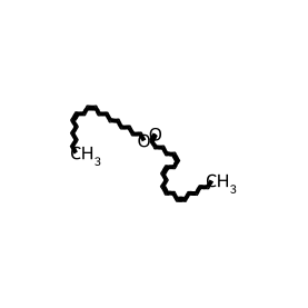 CCCCC/C=C\C/C=C\C/C=C\C/C=C\CCCC(=O)OCCCCCCCC/C=C\C/C=C\CCCCC